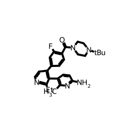 CCc1nccc(-c2ccc(C(=O)N3CCN(C(C)(C)C)CC3)c(F)c2)c1-c1ccc(N)nc1C